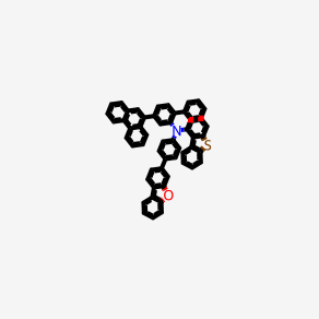 c1ccc(-c2ccc(-c3cc4ccccc4c4ccccc34)cc2N(c2ccc(-c3ccc4c(c3)oc3ccccc34)cc2)c2cccc3sc4ccccc4c23)cc1